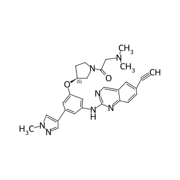 C#Cc1ccc2nc(Nc3cc(O[C@H]4CCN(C(=O)CN(C)C)C4)cc(-c4cnn(C)c4)c3)ncc2c1